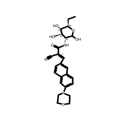 CC[C@H]1OC(O)[C@H](NC(=O)/C(C#N)=C/c2ccc3cc(N4CCOCC4)ccc3c2)[C@@H](O)[C@@H]1O